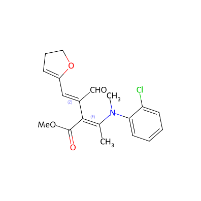 COC(=O)C(/C(C=O)=C/C1=CCCO1)=C(\C)N(C)c1ccccc1Cl